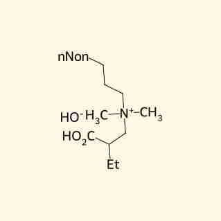 CCCCCCCCCCCC[N+](C)(C)CC(CC)C(=O)O.[OH-]